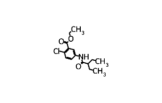 CCOC(=O)c1cc(NC(=O)C(CC)CC)ccc1Cl